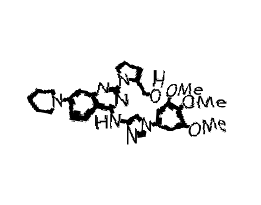 COc1cc(-n2cnc(Nc3nc(N4CCCC4CO)nc4cc(N5CCCCC5)ccc34)c2)cc(OC)c1OC